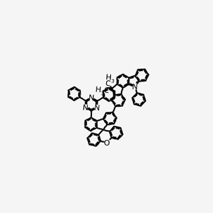 CC1(C)c2cc(-c3ccc4c(c3)-c3c(-c5nc(-c6ccccc6)nc(-c6ccccc6)n5)cccc3C43c4ccccc4Oc4ccccc43)ccc2-c2c1ccc1c3ccccc3n(-c3ccccc3)c21